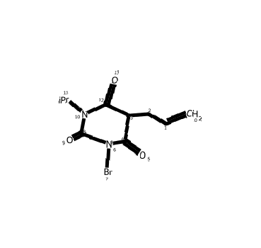 C=CCC1C(=O)N(Br)C(=O)N(C(C)C)C1=O